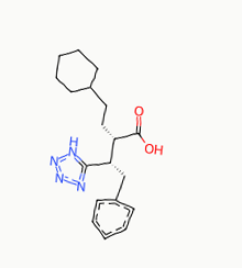 O=C(O)[C@@H](CCC1CCCCC1)[C@H](Cc1ccccc1)c1nnn[nH]1